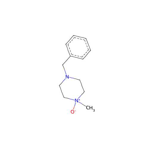 C[N+]1([O-])CCN(Cc2ccccc2)CC1